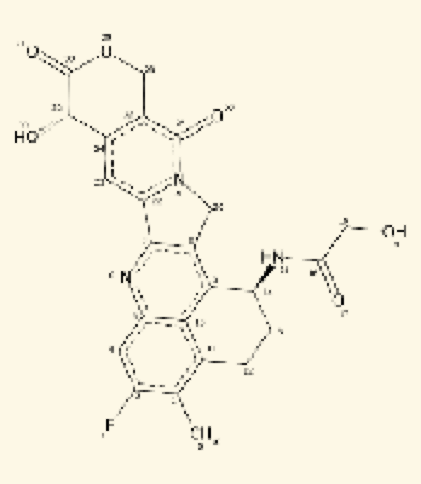 Cc1c(F)cc2nc3c(c4c2c1CC[C@@H]4NC(=O)CO)Cn1c-3cc2c(c1=O)COC(=O)[C@H]2O